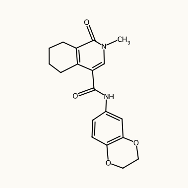 Cn1cc(C(=O)Nc2ccc3c(c2)OCCO3)c2c(c1=O)CCCC2